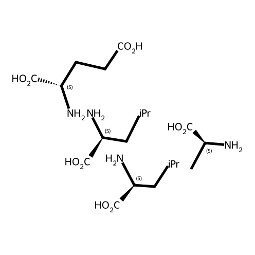 CC(C)C[C@H](N)C(=O)O.CC(C)C[C@H](N)C(=O)O.C[C@H](N)C(=O)O.N[C@@H](CCC(=O)O)C(=O)O